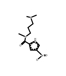 CN(C)CCCN(C)C(=O)c1cc([N+](=O)[O-])c[nH]1